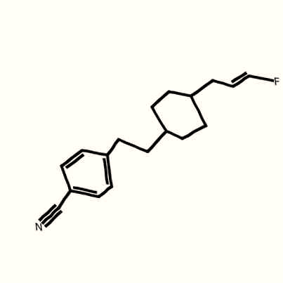 N#Cc1ccc(CCC2CCC(C/C=C/F)CC2)cc1